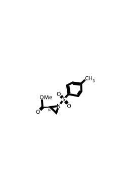 COC(=O)[C@@H]1CN1S(=O)(=O)c1ccc(C)cc1